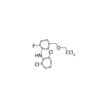 Fc1ccc(COCC(Cl)(Cl)Cl)cc1Nc1c(Cl)cccc1Cl